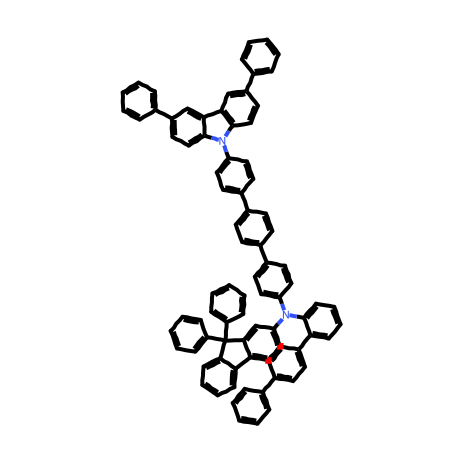 c1ccc(-c2ccc(-c3ccccc3N(c3ccc(-c4ccc(-c5ccc(-n6c7ccc(-c8ccccc8)cc7c7cc(-c8ccccc8)ccc76)cc5)cc4)cc3)c3ccc4c(c3)C(c3ccccc3)(c3ccccc3)c3ccccc3-4)cc2)cc1